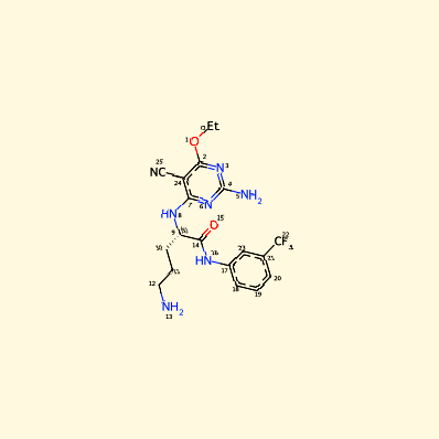 CCOc1nc(N)nc(N[C@@H](CCCN)C(=O)Nc2cccc(C(F)(F)F)c2)c1C#N